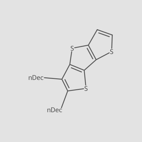 CCCCCCCCCCc1sc2c(sc3ccsc32)c1CCCCCCCCCC